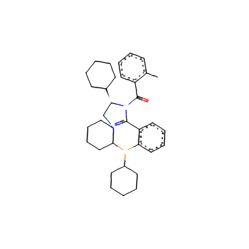 Cc1ccccc1C(=O)N1C(c2ccccc2P(C2CCCCC2)C2CCCCC2)=NC[C@H]1C1CCCCC1